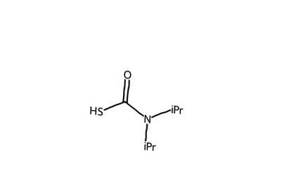 CC(C)N(C(=O)S)C(C)C